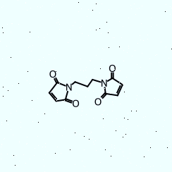 O=C1C=CC(=O)N1CCCN1C(=O)C=CC1=O